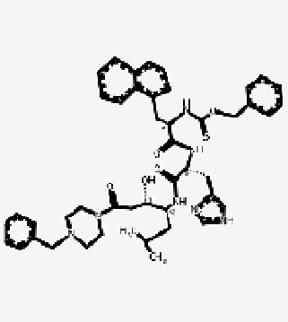 CC(C)C[C@H](NC(=O)[C@@H](Cc1c[nH]cn1)NC(=O)[C@@H](Cc1cccc2ccccc12)NC(=O)OCc1ccccc1)[C@@H](O)CC(=O)N1CCN(Cc2ccccc2)CC1